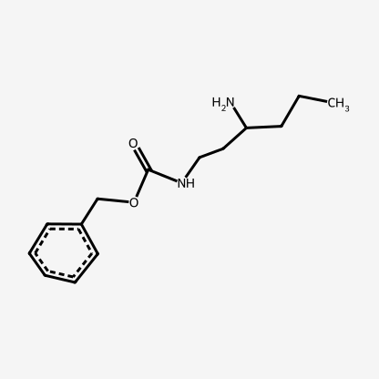 CCCC(N)CCNC(=O)OCc1ccccc1